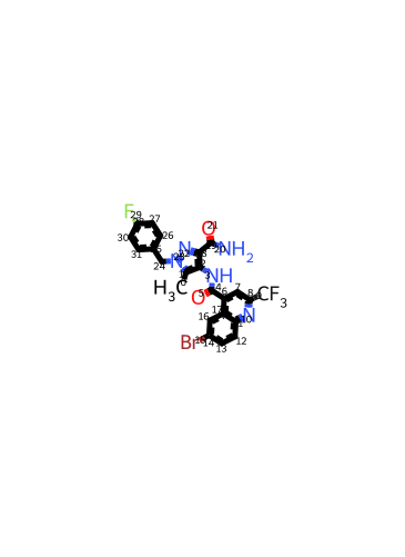 Cc1c(NC(=O)c2cc(C(F)(F)F)nc3ccc(Br)cc23)c(C(N)=O)nn1Cc1ccc(F)cc1